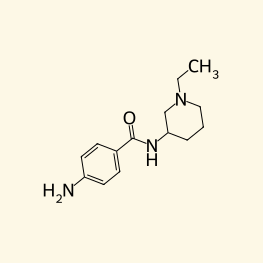 CCN1CCCC(NC(=O)c2ccc(N)cc2)C1